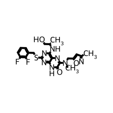 Cc1cc(CN(C)c2nc3c(N[C@H](C)CO)nc(SCc4cccc(F)c4F)nc3[nH]c2=O)on1